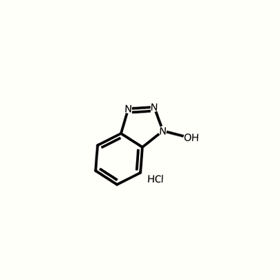 Cl.On1nnc2ccccc21